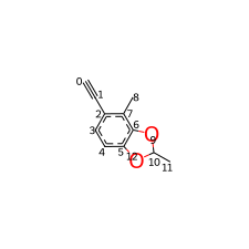 C#Cc1ccc2c(c1C)OC(C)O2